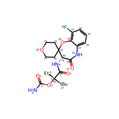 CC[C@@](OC(N)=O)(C(=O)N[C@H]1C(=O)Nc2cccc(F)c2OC12CCOCC2)C(C)(C)C